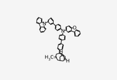 C[C@H]1CC2C[C@@H]3C[C@@H](C2)C(c2ccc(-c4ccc(N(c5ccc(-c6cccc(-n7c8ccccc8c8ccccc87)c6)cc5)c5ccc6oc7ccccc7c6c5)cc4)cc2)(C1)C3